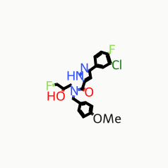 COc1ccc(CN(CC(O)CF)C(=O)c2cc(-c3ccc(F)c(Cl)c3)n[nH]2)cc1